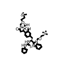 Cc1cc(C[C@H](NC(=S)Nc2ccccc2)c2nc3ccccc3n2COCC[Si](C)(C)C)ccc1C1CC(=O)N(COCC[Si](C)(C)C)S1(O)O